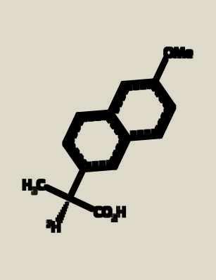 [2H][C@@](C)(C(=O)O)c1ccc2cc(OC)ccc2c1